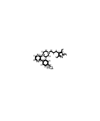 Cc1nn(C)c(C)c1CCCN1CCN(c2nccnc2-c2ccc(F)cc2)CC1.Cl